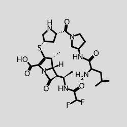 CC(C)CC(N)C(=O)NC1CCN(C(=O)[C@@H]2C[C@H](SC3=C(C(=O)O)N4C(=O)[C@H]([C@@H](C)NC(=O)C(F)F)[C@H]4[C@H]3C)CN2)C1